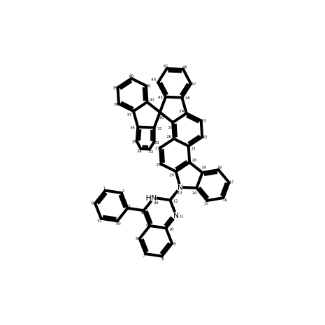 c1ccc(C2=c3ccccc3=NC(n3c4ccccc4c4c5ccc6c(c5ccc43)C3(c4ccccc4-c4ccccc43)c3ccccc3-6)N2)cc1